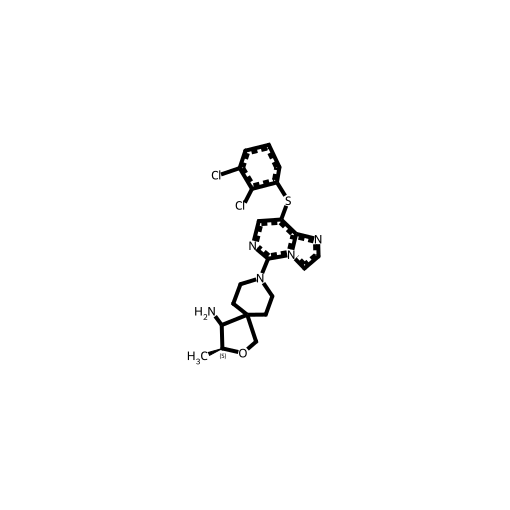 C[C@@H]1OCC2(CCN(c3ncc(Sc4cccc(Cl)c4Cl)c4nccn34)CC2)C1N